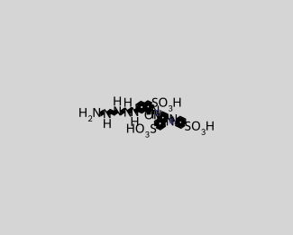 NCCNCCNCCNCNc1ccc2cc(S(=O)(=O)O)c(/N=N/c3ccc(/N=N/c4ccc(S(=O)(=O)O)cc4)c4ccc(S(=O)(=O)O)cc34)c(O)c2c1